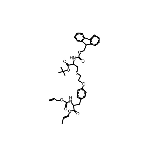 C=CCOC(=O)NC(Cc1ccc(OCCSCC(NC(=O)OCC2c3ccccc3-c3ccccc32)C(=O)OC(C)(C)C)cc1)C(=O)OC=CC